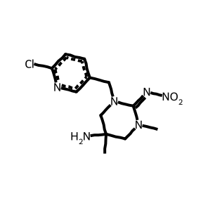 CN1CC(C)(N)CN(Cc2ccc(Cl)nc2)/C1=N/[N+](=O)[O-]